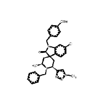 COc1ccc(CN2C(=O)C3(C[C@H](C)N(Cc4ccccc4)[C@H](c4cn(C)nn4)C3)c3ccc(Cl)cc32)cc1